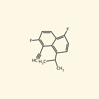 C#Cc1c(F)ccc2c(F)ccc(C(C)C)c12